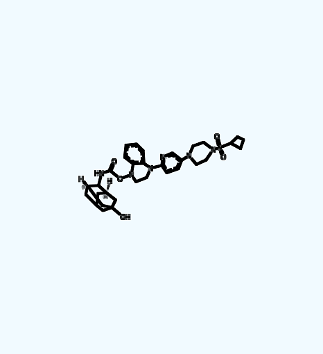 O=C(NC1[C@@H]2CC3C[C@H]1CC(O)(C3)C2)ON1CCN(c2ccc(N3CCN(S(=O)(=O)C4CCC4)CC3)cn2)c2ccccc21